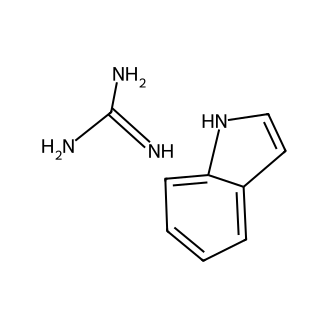 N=C(N)N.c1ccc2[nH]ccc2c1